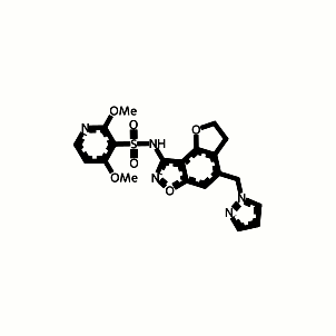 COc1ccnc(OC)c1S(=O)(=O)Nc1noc2cc(Cn3cccn3)c3c(c12)OCC3